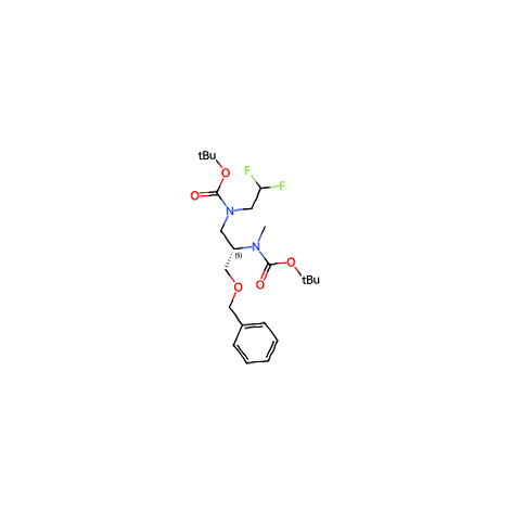 CN(C(=O)OC(C)(C)C)[C@H](COCc1ccccc1)CN(CC(F)F)C(=O)OC(C)(C)C